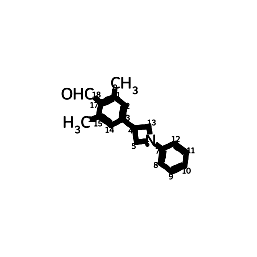 Cc1cc(C2CN(c3ccccc3)C2)cc(C)c1C=O